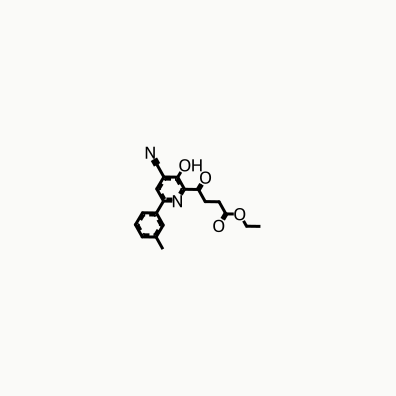 CCOC(=O)CCC(=O)c1nc(-c2cccc(C)c2)cc(C#N)c1O